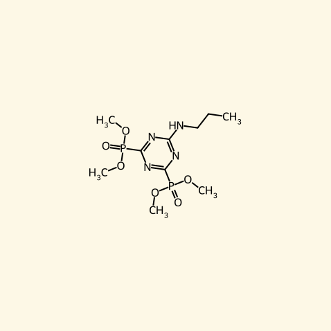 CCCNc1nc(P(=O)(OC)OC)nc(P(=O)(OC)OC)n1